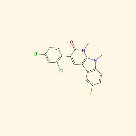 Cn1c(=O)c(-c2ccc(Cl)cc2Cl)cc2c3cc(I)ccc3n(C)c21